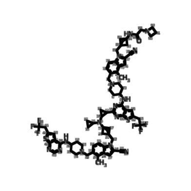 Cc1c(CN2CCC(Nc3nc(C4CC4N(C4CC4)C45CC(Cn6c(C#N)cc7c(C)c(CN8CCC(Nc9ncnc%10sc(CC(F)(F)F)cc9%10)CC8)ccc76)(C4)C5)nc4sc(CC(F)(F)F)cc34)CC2)ccc2c1cc(C#N)n2CC12CC(NC(=O)CN3CCC3)(C1)C2